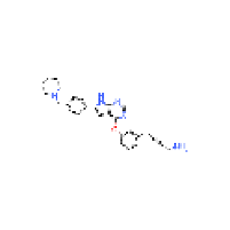 NCC#CCc1cccc(Oc2ncnc3[nH]c(-c4ccc(CN5CCCCC5)cc4)cc23)c1